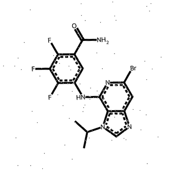 CC(C)n1cnc2cc(Br)nc(Nc3cc(C(N)=O)c(F)c(F)c3F)c21